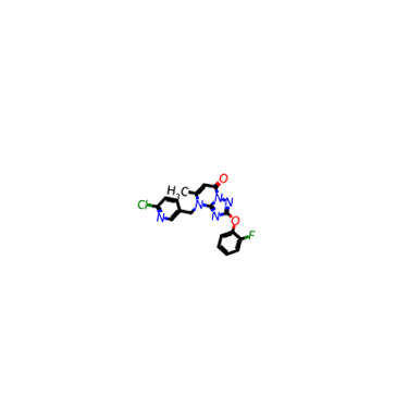 Cc1cc(=O)n2nc(Oc3ccccc3F)nc2n1Cc1ccc(Cl)nc1